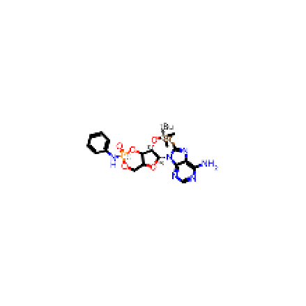 CC(C)(C)[Si](C)(C)O[C@H]1C2O[P@](=O)(Nc3ccccc3)OCC2O[C@H]1n1c(Br)nc2c(N)ncnc21